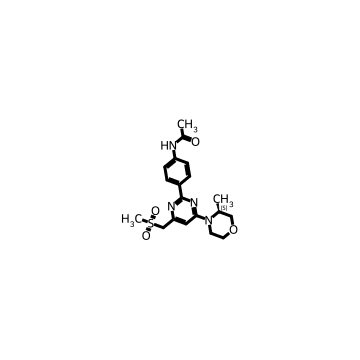 CC(=O)Nc1ccc(-c2nc(CS(C)(=O)=O)cc(N3CCOC[C@@H]3C)n2)cc1